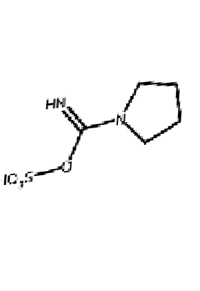 N=C(OS(=O)(=O)O)N1CCCC1